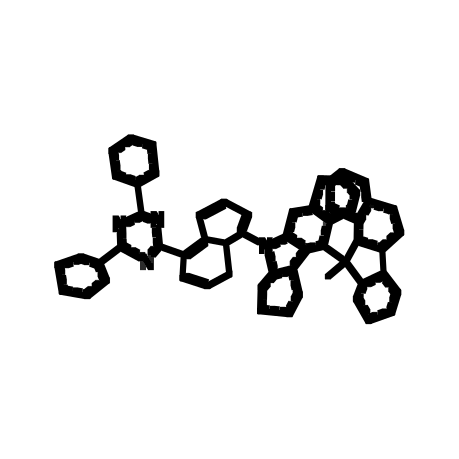 CC1(c2c3ccccc3cc3c2c2ccccc2n3C2=CC=CC3=C(c4nc(-c5ccccc5)nc(-c5ccccc5)n4)C=CCC23)c2ccccc2-c2ccc3ccccc3c21